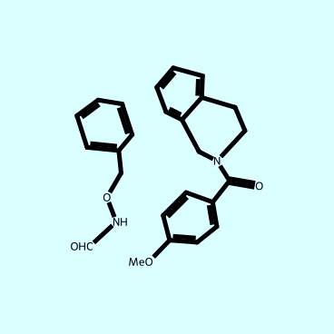 COc1ccc(C(=O)N2CCc3ccccc3C2)cc1.O=CNOCc1ccccc1